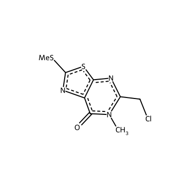 CSc1nc2c(=O)n(C)c(CCl)nc2s1